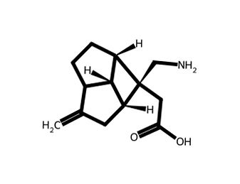 C=C1C[C@@H]2[C@@H]3C1CC[C@@H]3[C@]2(CN)CC(=O)O